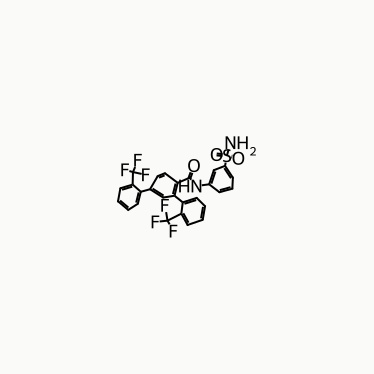 NS(=O)(=O)c1cccc(NC(=O)c2ccc(-c3ccccc3C(F)(F)F)cc2-c2ccccc2C(F)(F)F)c1